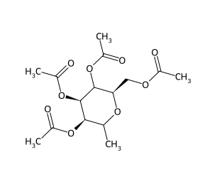 CC(=O)OC[C@H]1OC(C)[C@@H](OC(C)=O)[C@@H](OC(C)=O)C1OC(C)=O